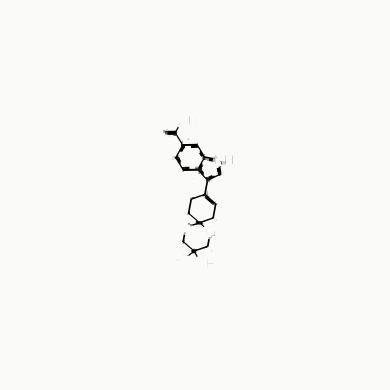 CC1(C)COC2(CC=C(c3c[nH]c4cc(C(=O)O)ccc34)CC2)OC1